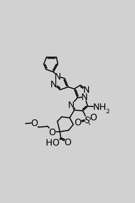 COCCOC1(C(=O)O)CCC(c2nc3c(-c4cnn(-c5ccccc5)c4)cnn3c(N)c2S(C)(=O)=O)CC1